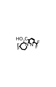 O=C(O)c1ccc(C(F)F)nc1N1CCCC(F)(F)CC1